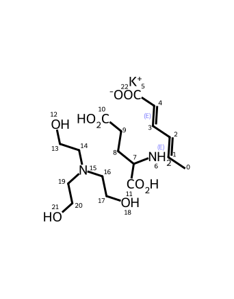 C/C=C/C=C/C(=O)[O-].NC(CCC(=O)O)C(=O)O.OCCN(CCO)CCO.[K+]